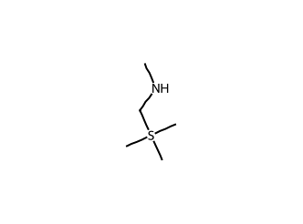 CNCS(C)(C)C